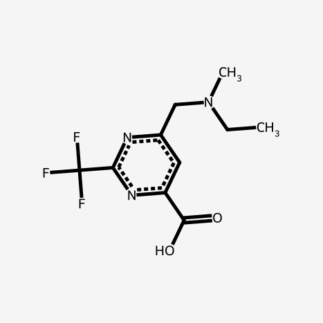 CCN(C)Cc1cc(C(=O)O)nc(C(F)(F)F)n1